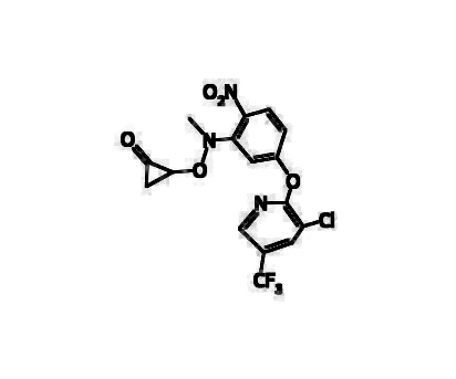 CN(OC1CC1=O)c1cc(Oc2ncc(C(F)(F)F)cc2Cl)ccc1[N+](=O)[O-]